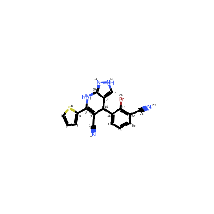 N#CC1=C(c2cccs2)Nc2n[nH]cc2C1c1cccc(C#N)c1Br